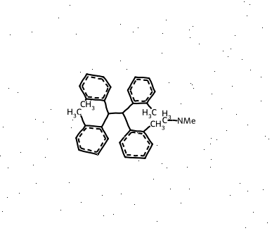 CNC.Cc1ccccc1C(c1ccccc1C)C(c1ccccc1C)c1ccccc1C